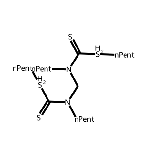 CCCCC[SH2]C(=S)N(CCCCC)CN(CCCCC)C(=S)[SH2]CCCCC